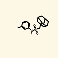 O=S(=O)(CC12CC3CC(CC(C3)C1)C2)Nc1cccc(Cl)c1